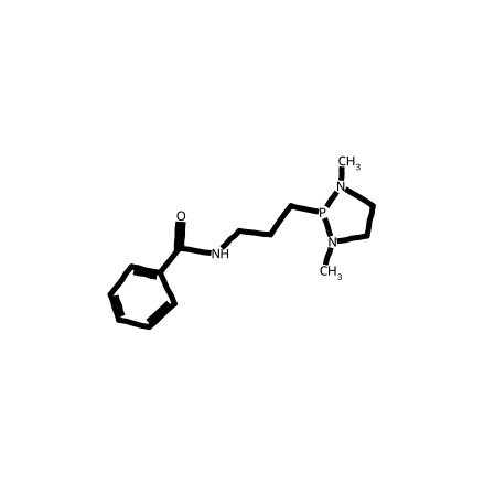 CN1CCN(C)P1CCCNC(=O)c1ccccc1